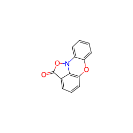 O=c1on2c3c(cccc13)Oc1ccccc1-2